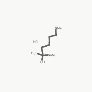 CNCCCCC(C)(O)NC.Cl